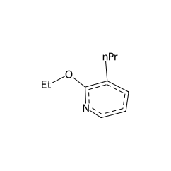 CCCc1cccnc1OCC